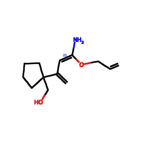 C=CCO/C(N)=C\C(=C)C1(CO)CCCC1